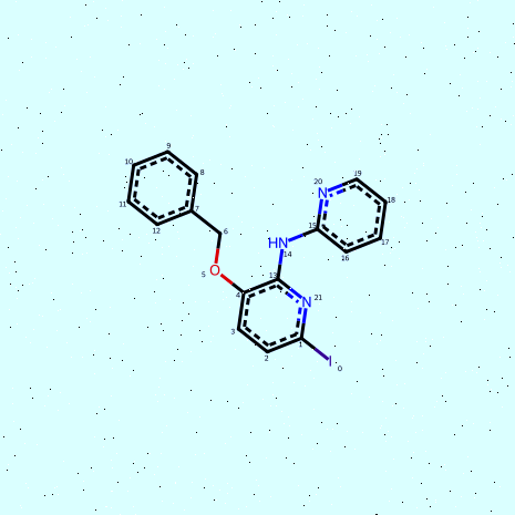 Ic1ccc(OCc2ccccc2)c(Nc2ccccn2)n1